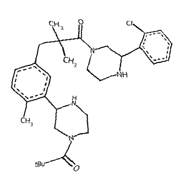 Cc1ccc(CC(C)(C)C(=O)N2CCNC(c3ccccc3Cl)C2)cc1C1CN(C(=O)C(C)(C)C)CCN1